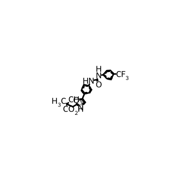 CC(C)(Cc1ncc(-c2ccc(NC(=O)Nc3ccc(C(F)(F)F)cc3)cc2)o1)C(=O)O